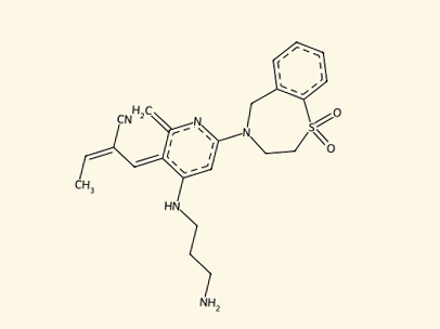 C=c1nc(N2CCS(=O)(=O)c3ccccc3C2)cc(NCCCN)/c1=C/C(C#N)=C\C